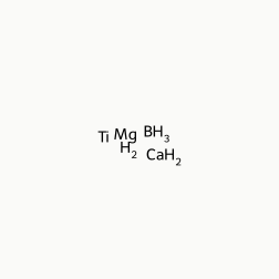 B.[CaH2].[MgH2].[Ti]